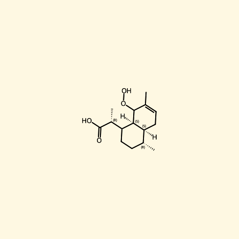 CC1=CC[C@@H]2[C@H](C1OO)C([C@@H](C)C(=O)O)CC[C@H]2C